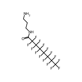 NCCCNC(=O)C(F)(F)C(F)(F)C(F)(F)C(F)(F)C(F)(F)C(F)(F)C(F)(F)F